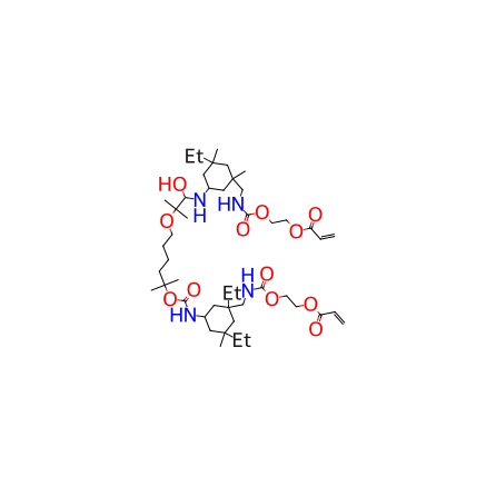 C=CC(=O)OCCOC(=O)NCC1(C)CC(NC(O)C(C)(C)OCCCCC(C)(C)OC(=O)NC2CC(C)(CC)CC(CC)(CNC(=O)OCCOC(=O)C=C)C2)CC(C)(CC)C1